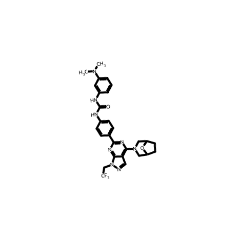 CN(C)c1cccc(NC(=O)Nc2ccc(-c3nc(N4CC5CCC(C4)O5)c4cnn(CC(F)(F)F)c4n3)cc2)c1